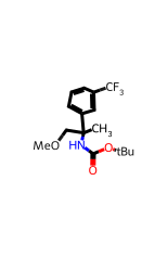 COCC(C)(NC(=O)OC(C)(C)C)c1cccc(C(F)(F)F)c1